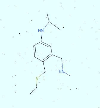 CCSCc1ccc(NC(C)C)cc1CNC